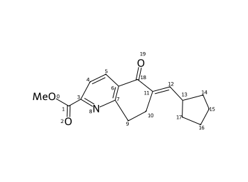 COC(=O)c1ccc2c(n1)CC/C(=C\C1CCCC1)C2=O